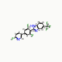 Fc1ccc(-c2cc(F)c(-c3nc4cc(C(F)(F)F)ccc4[nH]3)c(F)c2)cn1